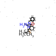 CC(C)(C)c1cc2c(s1)CCCC21N=C(N)N(Cc2ccccc2)C1=O